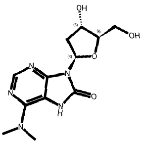 CN(C)c1ncnc2c1[nH]c(=O)n2[C@H]1C[C@H](O)[C@@H](CO)O1